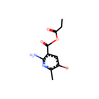 CCC(=O)OC(=O)c1cc(Br)c(C)nc1N